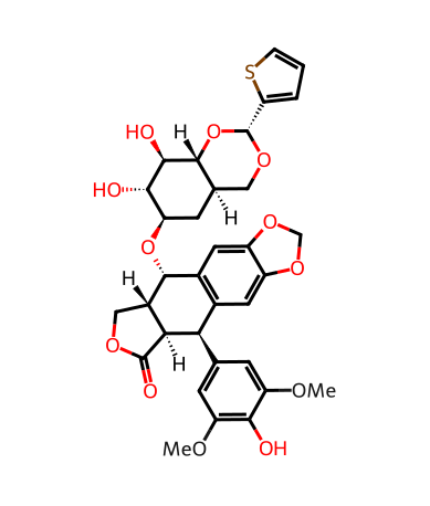 COc1cc([C@@H]2c3cc4c(cc3[C@@H](O[C@@H]3C[C@@H]5CO[C@@H](c6cccs6)O[C@H]5[C@H](O)[C@H]3O)[C@H]3COC(=O)[C@H]23)OCO4)cc(OC)c1O